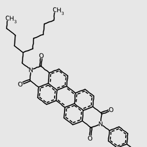 CCCCCCC(CCCC)CN1C(=O)c2ccc3c4ccc5c6c(ccc(c7ccc(c2c37)C1=O)c64)C(=O)N(c1ccc(O)cc1)C5=O